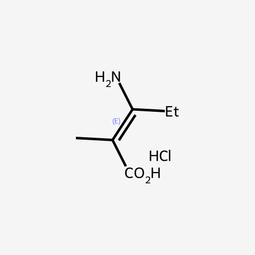 CC/C(N)=C(/C)C(=O)O.Cl